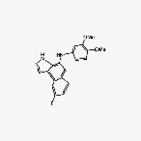 COc1ccc(Nc2nc3ccc(I)cc3c3cn[nH]c23)cc1OC